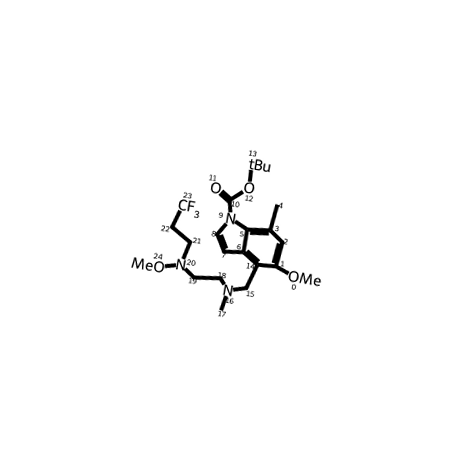 COc1cc(C)c2c(ccn2C(=O)OC(C)(C)C)c1CN(C)CCN(CCC(F)(F)F)OC